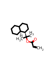 C=CC(=O)OC(C)(C)[C@@H]1CCCC2CCCC[C@@H]21